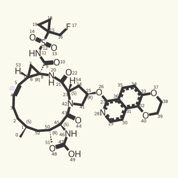 C[C@H]1CC/C=C\[C@@H]2C[C@@]2(C(=O)NS(=O)(=O)C2(CF)CC2)NC(=O)[C@@H]2C[C@@H](Oc3nccc4c5c(ccc34)OCCO5)CN2C(=O)[C@@H](NC(=O)O)[C@H](C)C1